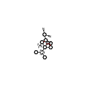 N#Cc1ccc(-c2ccc3c(c2)c2ccccc2n3-c2c(-c3ccccc3C(F)(F)F)cc(-c3nc(-c4ccccc4)nc(-c4ccccc4)n3)cc2-c2ccccc2C(F)(F)F)c(C#N)c1